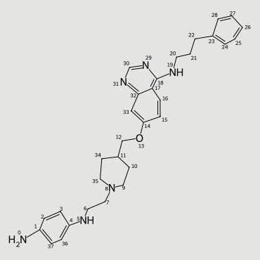 Nc1ccc(NCCN2CCC(COc3ccc4c(NCCCc5ccccc5)ncnc4c3)CC2)cc1